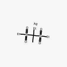 CCC(C)(S(=O)(=O)CC)S(=O)(=O)CC.[Ag]